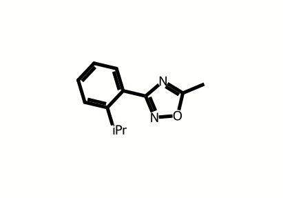 Cc1nc(-c2ccccc2C(C)C)no1